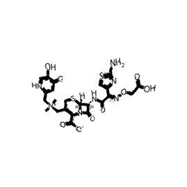 C[N+](C)(CC1=C(C(=O)[O-])N2C(=O)[C@@H](NC(=O)/C(=N/OCC(=O)O)c3csc(N)n3)[C@H]2SC1)Cc1cc(=O)c(O)c[nH]1